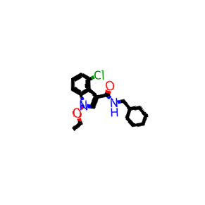 CCOn1cc(C(=O)NCC2CCCCC2)c2c(Cl)cccc21